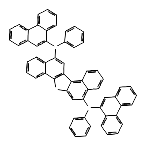 c1ccc(N(c2cc3ccccc3c3ccccc23)c2cc3c(oc4cc(N(c5ccccc5)c5cc6ccccc6c6ccccc56)c5ccccc5c43)c3ccccc23)cc1